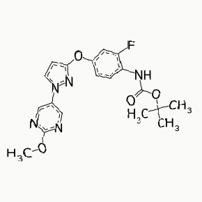 COc1ncc(-n2ccc(Oc3ccc(NC(=O)OC(C)(C)C)c(F)c3)n2)cn1